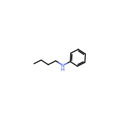 CCCCNc1c[c]ccc1